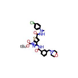 CN(NC(=O)c1cc2c(NC(=O)c3cccc(CN4CCOCC4)c3)nn(C(=O)OC(C)(C)C)c2s1)c1ccc(Cl)cc1